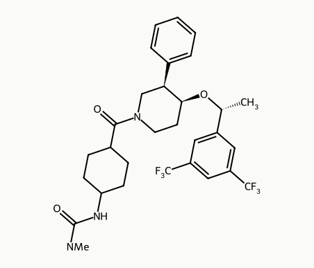 CNC(=O)NC1CCC(C(=O)N2CC[C@H](O[C@H](C)c3cc(C(F)(F)F)cc(C(F)(F)F)c3)[C@H](c3ccccc3)C2)CC1